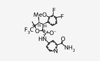 COc1c([C@H]2[C@H]([S+]([O-])Nc3ccnc(C(N)=O)c3)O[C@@](C)(C(F)(F)F)[C@H]2C)ccc(F)c1F